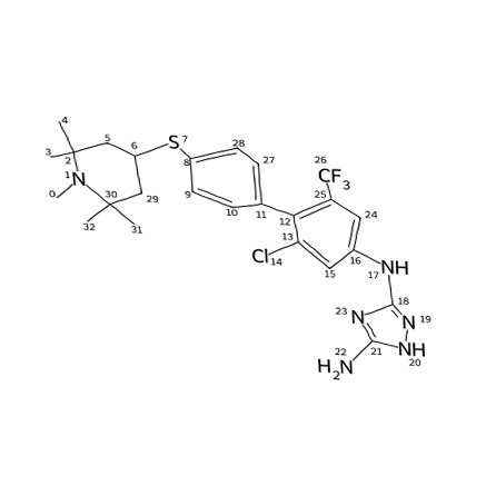 CN1C(C)(C)CC(Sc2ccc(-c3c(Cl)cc(Nc4n[nH]c(N)n4)cc3C(F)(F)F)cc2)CC1(C)C